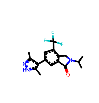 Cc1n[nH]c(C)c1-c1cc2c(c(C(F)(F)F)c1)CN(C(C)C)C2=O